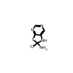 NC1(Cl)Nc2cncnc2S1